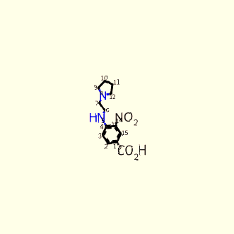 O=C(O)c1ccc(NCCN2CCCC2)c([N+](=O)[O-])c1